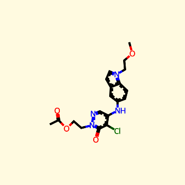 COCCn1ccc2cc(Nc3cnn(CCOC(C)=O)c(=O)c3Cl)ccc21